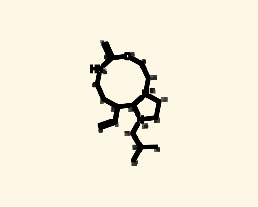 C=CC1CCNC(=C)OCCN2CCN(CC(C)C)C12